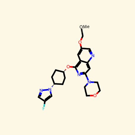 COCOc1cnc2cc(N3CCOCC3)nc(O[C@H]3CC[C@@H](n4cc(F)cn4)CC3)c2c1